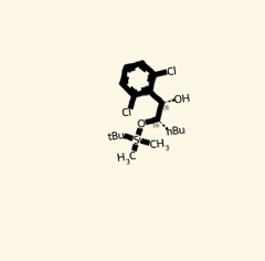 CCCC[C@H](O[Si](C)(C)C(C)(C)C)[C@@H](O)c1c(Cl)cccc1Cl